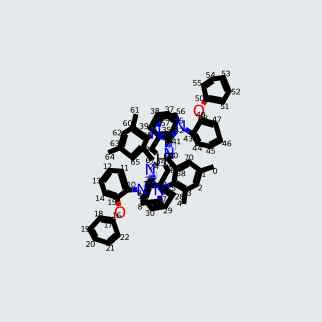 Cc1cc(C)c(N2CCN(c3ccccc3Oc3ccccc3)/C2=[N]/[Hf]([CH2]c2ccccc2)([CH2]c2ccccc2)/[N]=C2/N(c3ccccc3Oc3ccccc3)CCN2c2c(C)cc(C)cc2C)c(C)c1